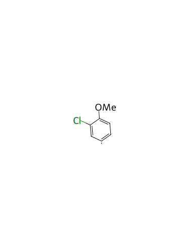 COc1cc[c]cc1Cl